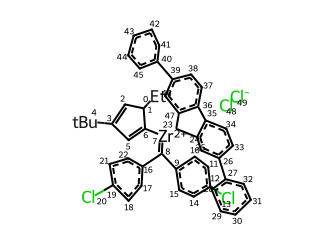 CCC1C=C(C(C)(C)C)C=[C]1[Zr+2](=[C](c1ccc(Cl)cc1)c1ccc(Cl)cc1)[CH]1c2cc(-c3ccccc3)ccc2-c2ccc(-c3ccccc3)cc21.[Cl-].[Cl-]